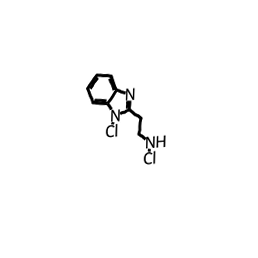 ClNCCc1nc2ccccc2n1Cl